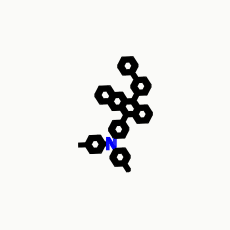 Cc1ccc(N(c2ccc(C)cc2)c2ccc(-c3c4ccccc4c(-c4cccc(-c5ccccc5)c4)c4cc5ccccc5cc34)cc2)cc1